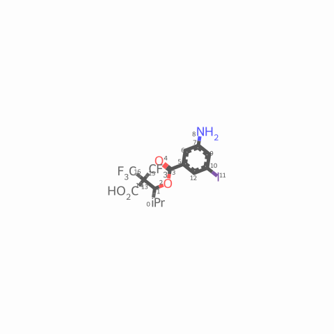 CC(C)C(OC(=O)c1cc(N)cc(I)c1)C(C(=O)O)(C(F)(F)F)C(F)(F)F